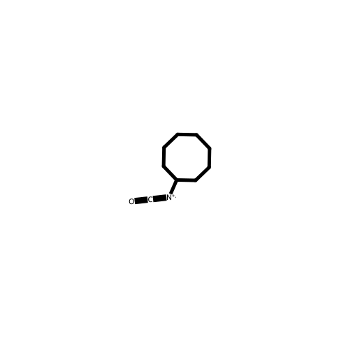 O=C=[N+]C1CCCCCCC1